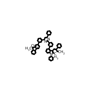 C=C/C(=C\c1c(C)n(-c2ccccc2)c2cccc(-c3cccc(-c4nc(-c5ccccc5)cc(-c5cccc(-c6ccc7c(c6)C(C)(C)c6ccccc6-7)c5)n4)c3)c12)c1ccccc1